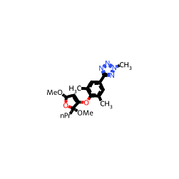 CCCC1(OC)OC(OC)C=C1Oc1c(C)cc(-c2nnn(C)n2)cc1C